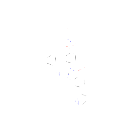 CNC(Cc1cc(F)cc(F)c1)c1nc2cc(-c3cnccc3F)ccc2c(=O)n1-c1ccc(S(=O)(=O)N2CCOCC2)cc1